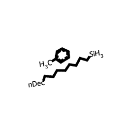 CCCCCCCCCCCCCCCCCC[SiH3].Cc1ccccc1